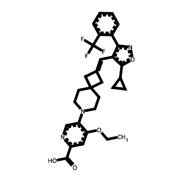 CCOc1cc(C(=O)O)ncc1N1CCC2(CC1)CC(=Cc1c(-c3ccccc3C(F)(F)F)noc1C1CC1)C2